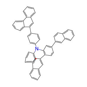 c1ccc(N(c2ccc(-c3cc4ccccc4c4ccccc34)cc2)c2cc(-c3ccc4ccccc4c3)ccc2-c2ccc3ccccc3c2)cc1